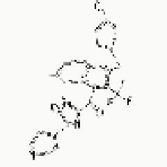 Cc1ccc2c(c1)c(C(=O)c1noc(-c3ccncc3)n1)c(C(F)(F)F)n2Cc1ccc(Cl)cc1